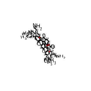 CCN(CC)c1ccc2c(c1)Oc1cc3c(cc1C21c2ccccc2C(=O)N1CCN(CCN)CCN)C1(c2ccc(N(CC)CC)cc2O3)c2ccccc2C(=O)N1CCN(CCN)CCN